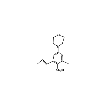 CC=Cc1cc(N2CCOCC2)nc(C)c1C(=O)OCC